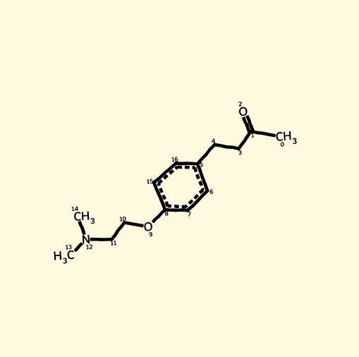 CC(=O)CCc1ccc(OCCN(C)C)cc1